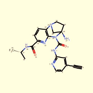 C#Cc1ccnc(NC(=O)N2c3nc(C(=O)N[C@H](C)C(F)(F)F)ccc3N3CC[C@@]2(N)C3)c1